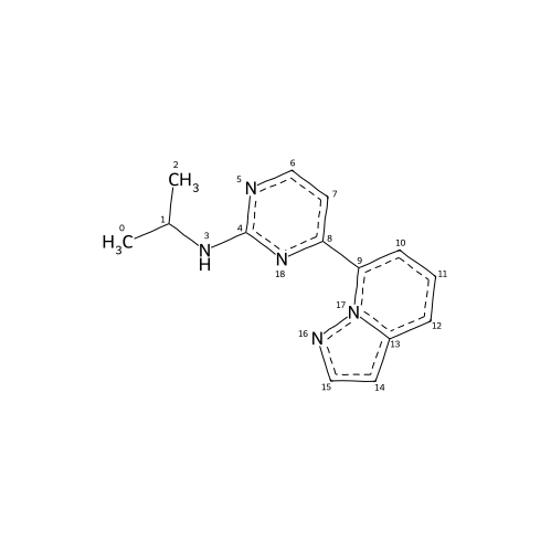 CC(C)Nc1nccc(-c2cccc3ccnn23)n1